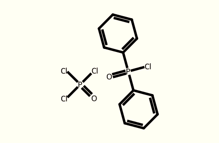 O=P(Cl)(Cl)Cl.O=P(Cl)(c1ccccc1)c1ccccc1